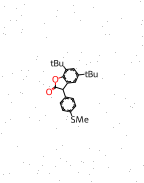 CSc1ccc(C2C(=O)Oc3c2cc(C(C)(C)C)cc3C(C)(C)C)cc1